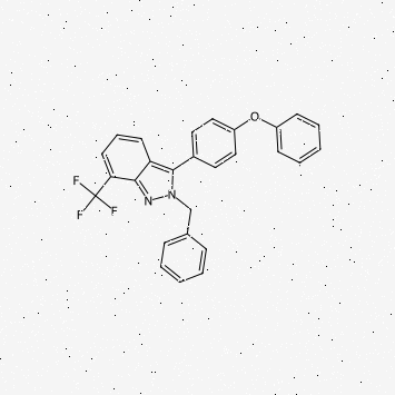 FC(F)(F)c1cccc2c(-c3ccc(Oc4c[c]ccc4)cc3)n(Cc3ccccc3)nc12